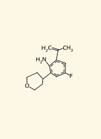 C=C(C)c1cc(F)cc(C2CCOCC2)c1N